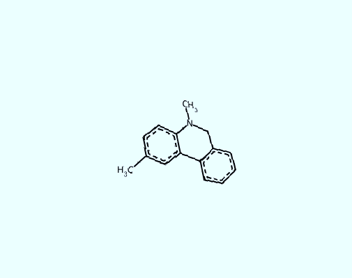 Cc1ccc2c(c1)-c1ccccc1CN2C